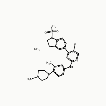 Cc1cc(Nc2ncc(F)c(-c3ccc4c(c3)CCN4S(C)(=O)=O)n2)ccc1N1CCN(C)CC1.N